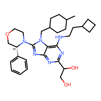 CC1CCC(Cn2c(N3CCOC[C@H]3c3ccccc3)nc3nc(C(O)CO)nc(NCCC4CCC4)c32)CC1